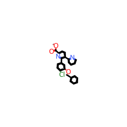 COC(=O)c1ccc(-c2ccccn2)c(-c2ccc(Cl)c(OCc3ccccc3)c2)n1